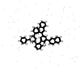 c1ccc(-c2cc(-c3cccc4oc5c(-c6ccc7ccccc7c6)cc(-c6ccc7ccccc7c6)cc5c34)nc(-c3ccccc3)n2)cc1